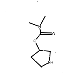 CN(C)C(=O)OC1C[CH]NC1